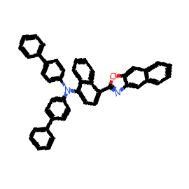 c1ccc(-c2ccc(N(c3ccc(-c4ccccc4)cc3)c3ccc(-c4nc5cc6ccccc6cc5o4)c4ccccc34)cc2)cc1